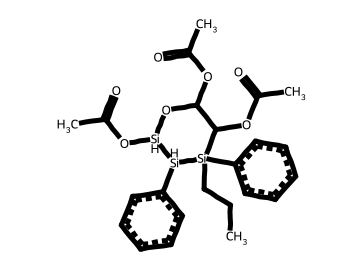 CCC[Si]1(c2ccccc2)C(OC(C)=O)C(OC(C)=O)O[SiH](OC(C)=O)[SiH]1c1ccccc1